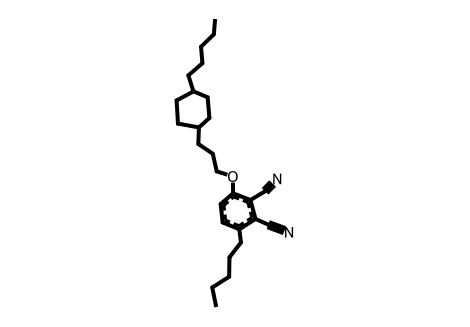 CCCCCc1ccc(OCCCC2CCC(CCCCC)CC2)c(C#N)c1C#N